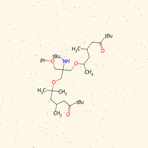 CC(CC(=O)C(C)(C)C)CC(C)OCC(COC(C)C)(COC(C)(C)CC(C)CC(=O)C(C)(C)C)NC(C)(C)C